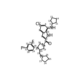 O=C(c1cc2cc(Cl)cc(NC3CCCC3)c2[nH]1)N1CC(CN2CCCC2)[C@H](c2ccc(F)cc2F)C1